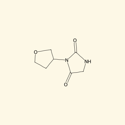 O=C1CNC(=O)N1C1CCOC1